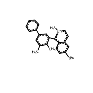 Cc1cc(-c2ccccc2)cc(-c2c3ccc(C(C)(C)C)cc3cc[n+]2C)c1C